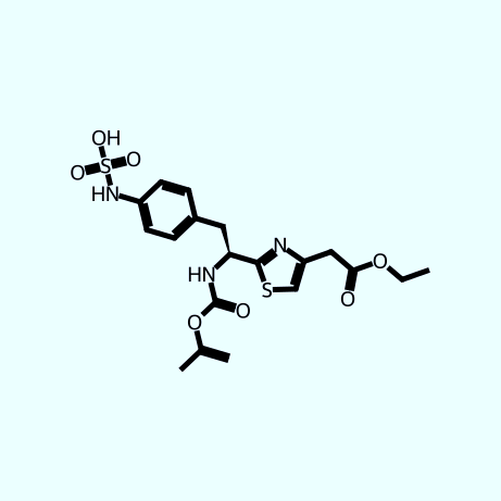 C=C(C)OC(=O)N[C@@H](Cc1ccc(NS(=O)(=O)O)cc1)c1nc(CC(=O)OCC)cs1